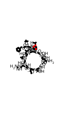 CC[C@H](C)C1NC(=O)[C@@H](CCCNC(=N)N)NC(=O)[C@H](CC(C)C)NC(=O)[C@H]([C@H](O)C(C)C)NC(=O)[C@@H](NC(=O)[C@H](CC(C)C)NC(=O)[C@@H](COC(C)(C)C)NC(=O)OCc2ccccc2)[C@@H](c2ccccc2)OC(=O)[C@H](CO)NC(=O)[C@H]([C@H](O)C(N)=O)NC(=O)CNC(=O)C([C@H](C)O)NC1=O